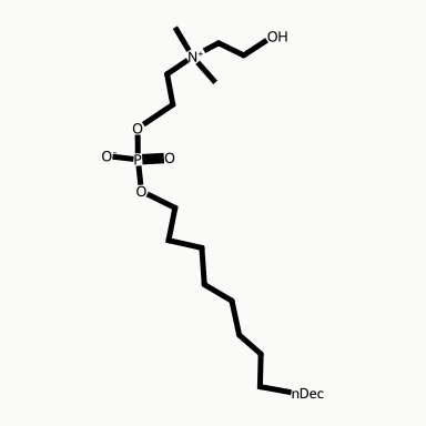 CCCCCCCCCCCCCCCCCCOP(=O)([O-])OCC[N+](C)(C)CCO